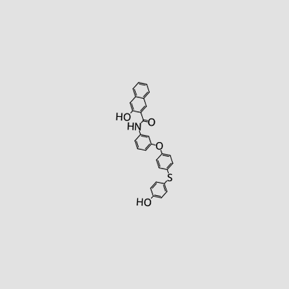 O=C(Nc1cccc(Oc2ccc(Sc3ccc(O)cc3)cc2)c1)c1cc2ccccc2cc1O